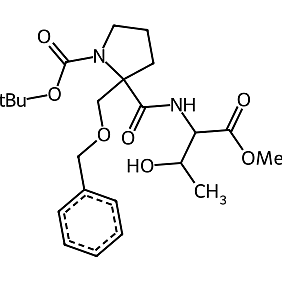 COC(=O)C(NC(=O)C1(COCc2ccccc2)CCCN1C(=O)OC(C)(C)C)C(C)O